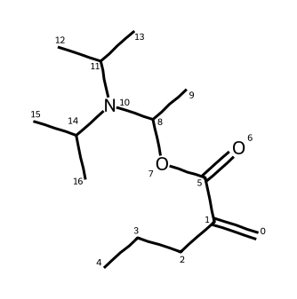 C=C(CCC)C(=O)OC(C)N(C(C)C)C(C)C